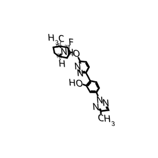 Cc1cnn(-c2ccc(-c3ccc(O[C@@H]4C[C@H]5CC[C@](C)(N5)[C@@H]4F)nn3)c(O)c2)n1